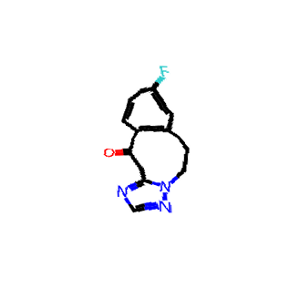 O=C1c2ccc(F)cc2CCn2ncnc21